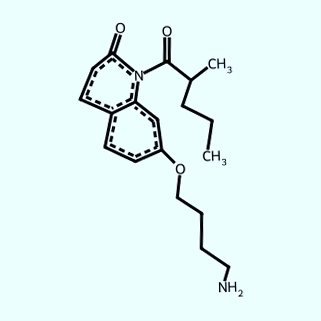 CCCC(C)C(=O)n1c(=O)ccc2ccc(OCCCCN)cc21